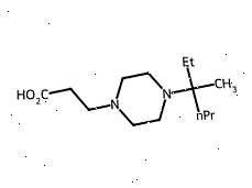 CCCC(C)(CC)N1CCN(CCC(=O)O)CC1